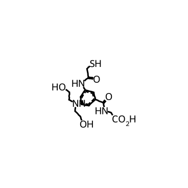 O=C(O)CNC(=O)c1cccc(NC(=O)CS)c1.OCCNCCO